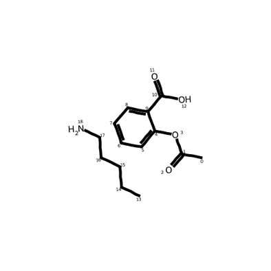 CC(=O)Oc1ccccc1C(=O)O.CCCCCN